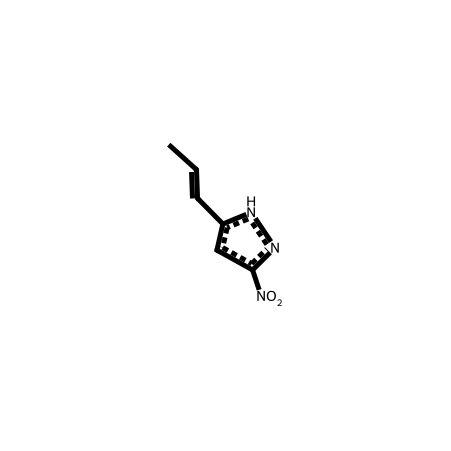 C/C=C/c1cc([N+](=O)[O-])n[nH]1